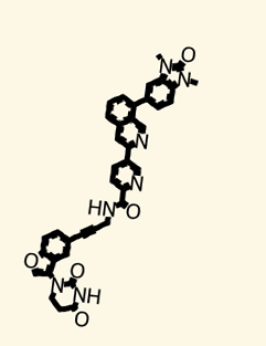 Cn1c(=O)n(C)c2cc(-c3cccc4cc(-c5ccc(C(=O)NCC#Cc6ccc7occ(N8CCC(=O)NC8=O)c7c6)nc5)ncc34)ccc21